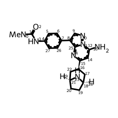 CNC(=O)Nc1ccc(-c2cnn3c(N)cc([C@H]4C[C@H]5CC[C@@H](C4)N5)nc23)cc1